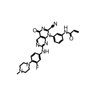 C=CC(=O)Nc1cccc(-n2c(C#N)nc(=O)c3cnc(Nc4ccc(N5CCN(C)CC5)c(F)c4)nc32)c1